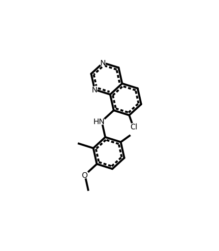 COc1ccc(C)c(Nc2c(Cl)ccc3cncnc23)c1C